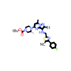 CCc1nn2c(C)cc(N3CCN(C(=O)OC(C)(C)C)C[C@H]3C)nc2c1NCc1nc(-c2ccc(F)cc2)c(C#N)s1